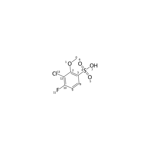 COc1c(S(=O)(=O)O)ccc(F)c1Cl